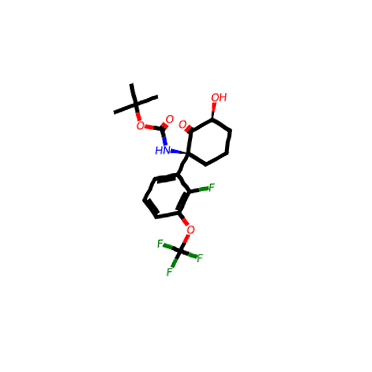 CC(C)(C)OC(=O)N[C@]1(c2cccc(OC(F)(F)F)c2F)CCC[C@H](O)C1=O